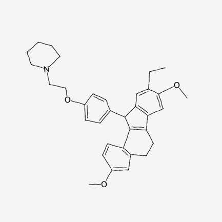 CCc1cc2c(cc1OC)C1=C(c3ccc(OC)cc3CC1)C2c1ccc(OCCN2CCCCC2)cc1